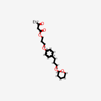 CCC(=O)CC(=O)OCCCOc1ccc(CCCOC2CCCCO2)cc1